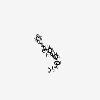 CC(C)COCc1ccc(-c2ccnc(Nc3cccc(C(=O)NCCCN4CCOCC4)c3)n2)o1